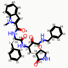 Cn1c(C(=O)N[C@@H](Cc2ccccc2)C(=O)NC(C[C@@H]2CCNC2=O)C(=O)C(=O)NCc2ccccc2)cc2ccccc21